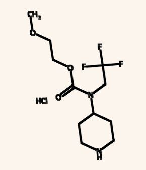 COCCOC(=O)N(CC(F)(F)F)C1CCNCC1.Cl